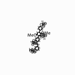 COc1cc(-c2ccc(OS(C)(=O)=O)cc2)c(OC)c(OS(C)(=O)=O)c1-c1ccc(OCc2cccc(NS(C)(=O)=O)c2)c(OS(C)(=O)=O)c1